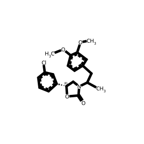 COc1ccc(CC(C)N2C[C@@H](c3cccc(Cl)c3)OC2=O)cc1OC